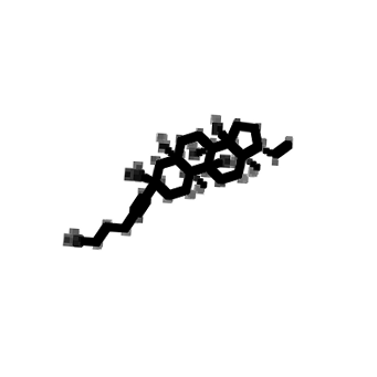 CC[C@H]1CC[C@H]2[C@@H]3CC[C@@H]4C[C@@](O)(C#CCCCO)CC[C@]4(C)[C@H]3CC[C@]12C